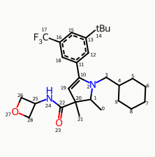 CC1N(CC2CCCCC2)C(c2cc(C(C)(C)C)cc(C(F)(F)F)c2)=CC1(C)C(=O)NC1COC1